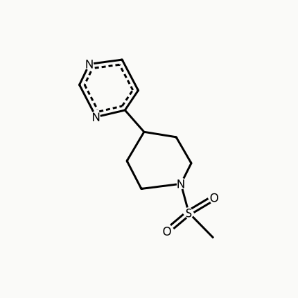 CS(=O)(=O)N1CCC(c2ccncn2)CC1